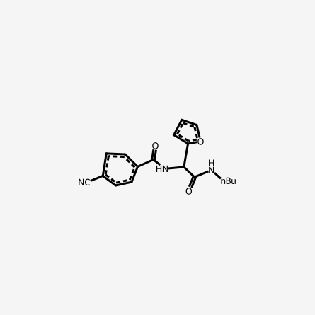 CCCCNC(=O)C(NC(=O)c1ccc(C#N)cc1)c1ccco1